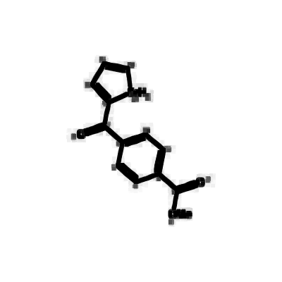 COC(=O)c1ccc(C(=O)C2=CC=C[SeH2]2)cc1